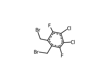 Fc1c(Cl)c(Cl)c(F)c(CBr)c1CBr